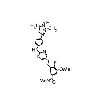 CNC(=O)c1cc(CCc2cnc(Nc3ccc(N4C[C@@H](C)N(C)[C@@H](C)C4)cc3)nc2)c(F)c(OC)c1